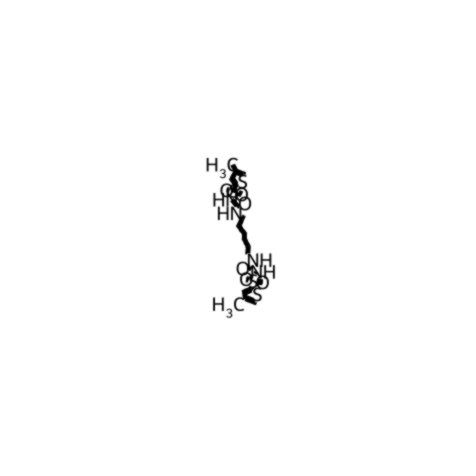 Cc1csc(S(=O)(=O)NC(=O)NCCCCCCNC(=O)NS(=O)(=O)c2cc(C)cs2)c1